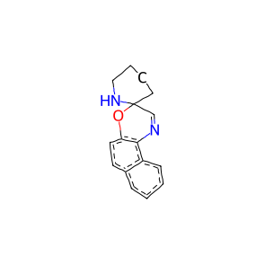 C1=Nc2c(ccc3ccccc23)OC12CCCCN2